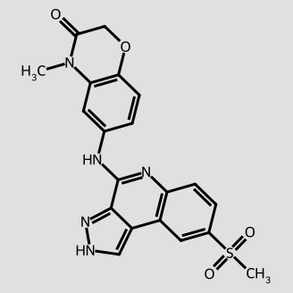 CN1C(=O)COc2ccc(Nc3nc4ccc(S(C)(=O)=O)cc4c4c[nH]nc34)cc21